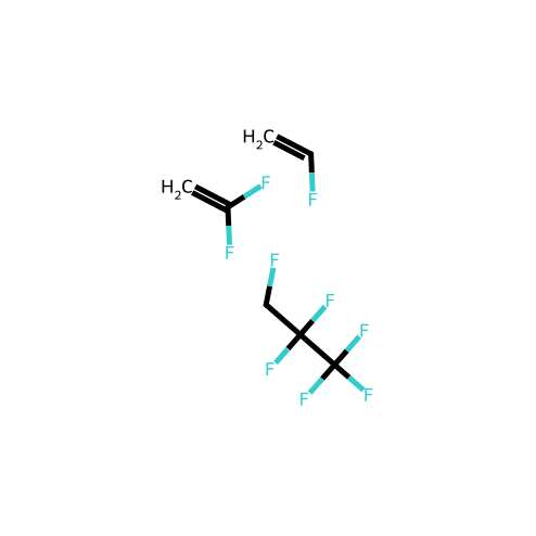 C=C(F)F.C=CF.FCC(F)(F)C(F)(F)F